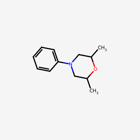 CC1CN(c2c[c]ccc2)CC(C)O1